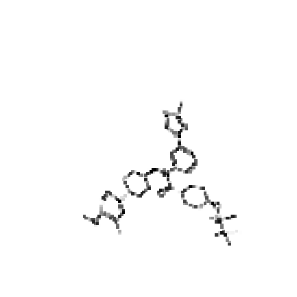 COc1ccc([C@H]2CC[C@H](CN(c3cccc(-n4cnc(C)n4)c3)C(=O)[C@H]3CC[C@H](O[Si](C)(C)C(C)(C)C)CC3)CC2)cc1C